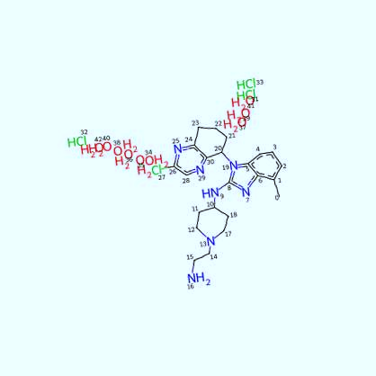 Cc1cccc2c1nc(NC1CCN(CCN)CC1)n2C1CCCc2nc(Cl)cnc21.Cl.Cl.Cl.O.O.O.O.O.O.O.O.O